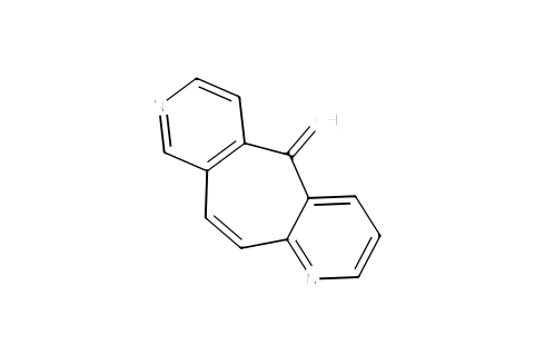 C=C1c2ccncc2C=Cc2ncccc21